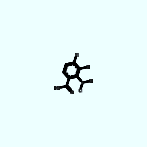 O=C(O)c1ccc(Cl)c(Cl)c1N(Cl)Cl